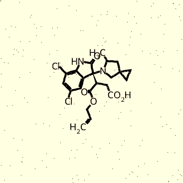 C=CCOC(=O)C(CC(=O)O)[C@]1(N2CC3(CC3)CC2C)C(=O)Nc2c(Cl)cc(Cl)cc21